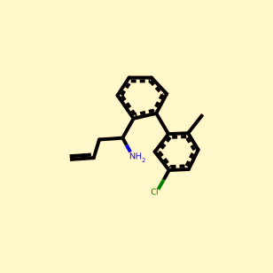 C=CCC(N)c1ccccc1-c1cc(Cl)ccc1C